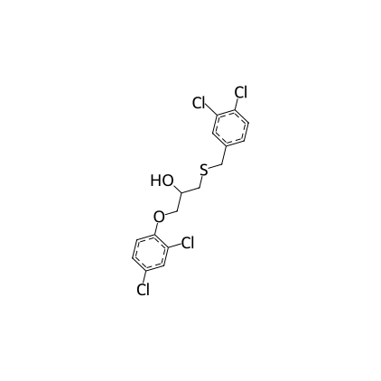 OC(COc1ccc(Cl)cc1Cl)CSCc1ccc(Cl)c(Cl)c1